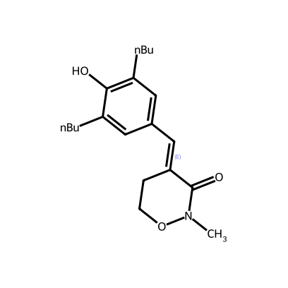 CCCCc1cc(/C=C2\CCON(C)C2=O)cc(CCCC)c1O